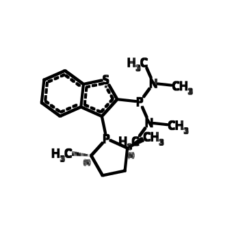 C[C@H]1CC[C@H](C)P1c1c(P(N(C)C)N(C)C)sc2ccccc12